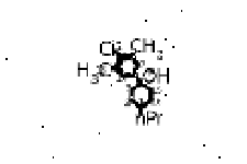 CCCC1CCC(O)(c2cc(C)c(Cl)c(C)c2)CC1